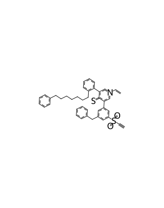 C#CS(=O)(=O)c1cc(Cc2ccccc2)cc(-c2cn(C=C)cc(-c3ccccc3CCCCCCCc3ccccc3)c2=S)c1